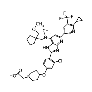 COCC1(CN(C)c2cc(-c3cnc(C4CC4)c(C(F)(F)F)c3)nc3nc(-c4ccc(OC5CCN(CC(=O)O)CC5)cc4Cl)[nH]c23)CCCC1